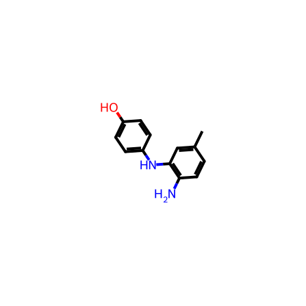 Cc1ccc(N)c(Nc2ccc(O)cc2)c1